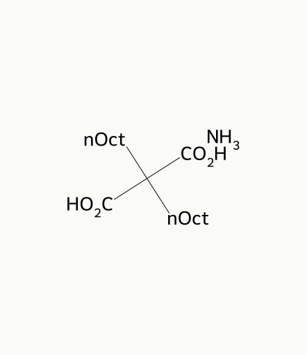 CCCCCCCCC(CCCCCCCC)(C(=O)O)C(=O)O.N